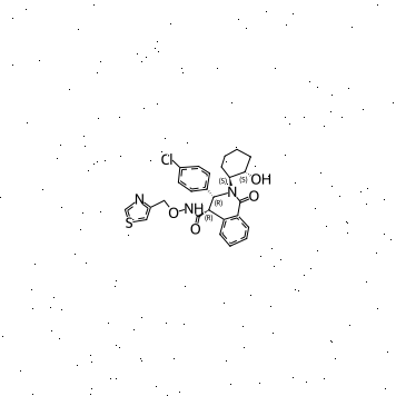 O=C(NOCc1cscn1)[C@@H]1c2ccccc2C(=O)N([C@H]2CCCC[C@@H]2O)[C@H]1c1ccc(Cl)cc1